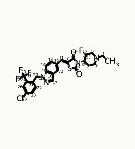 CCN1CC[C@H](N2C(=O)SC(=Cc3ccc4c(cnn4Cc4ccc(Cl)cc4C(F)(F)F)c3)C2=O)[C@H](F)C1